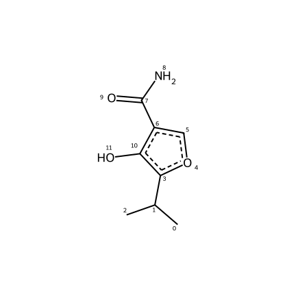 CC(C)c1occ(C(N)=O)c1O